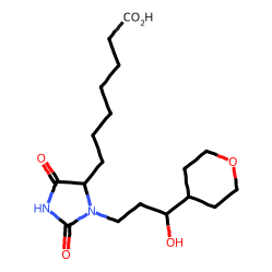 O=C(O)CCCCCCC1C(=O)NC(=O)N1CCC(O)C1CCOCC1